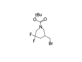 CC(C)(C)OC(=O)N1CC(CBr)CC(F)(F)C1